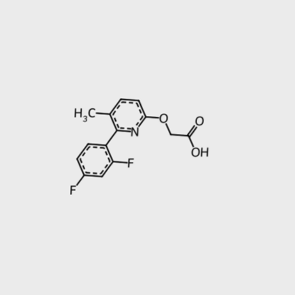 Cc1ccc(OCC(=O)O)nc1-c1ccc(F)cc1F